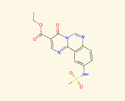 CCOC(=O)c1cnc2c3cc(NS(C)(=O)=O)ccc3ncn2c1=O